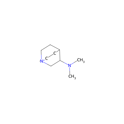 CN(C)C1C[N+]2CCC1CC2